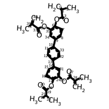 C=C(C)C(=O)Oc1ccc(-c2ccc(-c3ccc(OC(=O)C(C)C)c(OC(=O)C(=C)C)c3)cc2)cc1OC(=O)C(=C)C